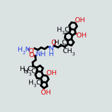 CC(CCC(=O)NC(CCCNC(=O)CCC(C)C1CCC2C3C(O)C4CC(O)CCC4(C)C3CCC12C)CON)C1CCC2C3C(O)CC4CC(O)CC4(C)C3CCC12C